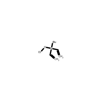 C=C[Si](C=C)(OCC)C(C)CC